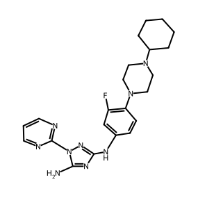 Nc1nc(Nc2ccc(N3CCN(C4CCCCC4)CC3)c(F)c2)nn1-c1ncccn1